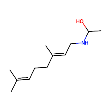 CC(C)=CCC/C(C)=C/CNC(C)O